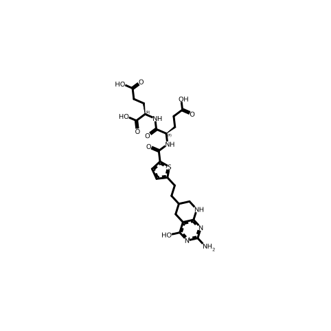 Nc1nc(O)c2c(n1)NCC(CCc1ccc(C(=O)N[C@H](CCC(=O)O)C(=O)N[C@H](CCC(=O)O)C(=O)O)s1)C2